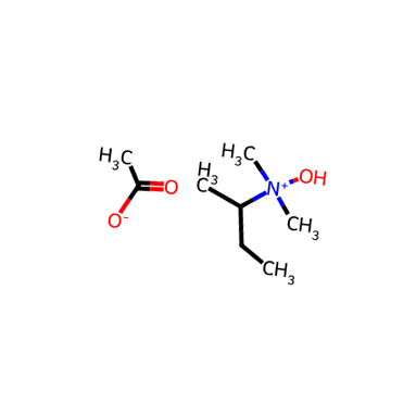 CC(=O)[O-].CCC(C)[N+](C)(C)O